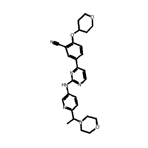 CC(c1ccc(Nc2nccc(-c3ccc(OC4CCOCC4)c(C#N)c3)n2)cn1)N1CCOCC1